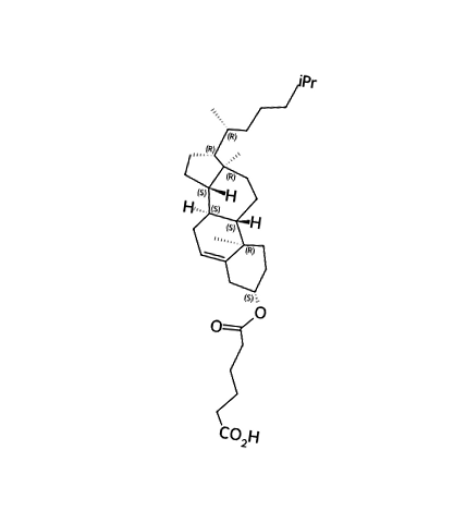 CC(C)CCC[C@@H](C)[C@H]1CC[C@H]2[C@@H]3CC=C4C[C@@H](OC(=O)CCCCC(=O)O)CC[C@]4(C)[C@H]3CC[C@]12C